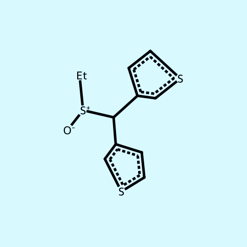 CC[S+]([O-])C(c1ccsc1)c1ccsc1